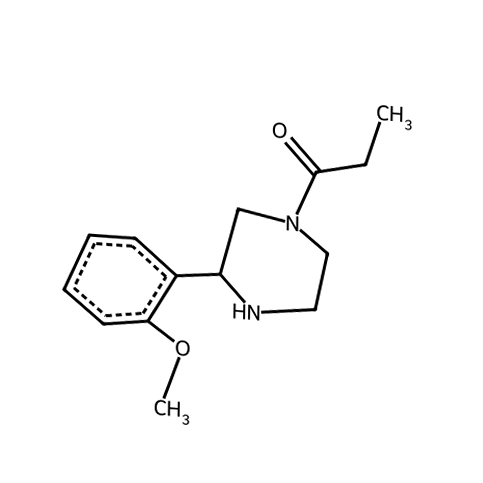 CCC(=O)N1CCNC(c2ccccc2OC)C1